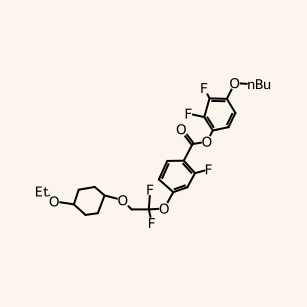 CCCCOc1ccc(OC(=O)c2ccc(OC(F)(F)COC3CCC(OCC)CC3)cc2F)c(F)c1F